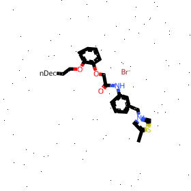 CCCCCCCCCCCCOc1ccccc1OCC(=O)Nc1cccc(C[n+]2csc(C)c2)c1.[Br-]